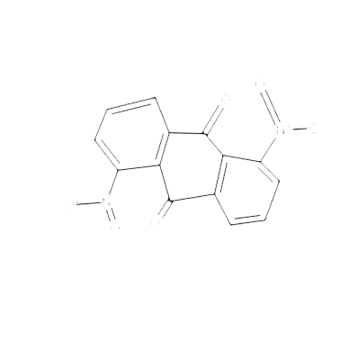 O=C1c2cccc([N+](=O)[O-])c2C(=O)c2cccc([N+](=O)[O-])c21